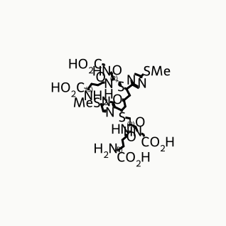 CSc1cnc(C(CC(=O)CC(SC[C@H](NC(=O)CC[C@H](N)C(=O)O)C(=O)NCC(=O)O)c2cnc(SC)cn2)SC[C@H](NC(=O)CC[C@@H](N)C(=O)O)C(=O)NCC(=O)O)cn1